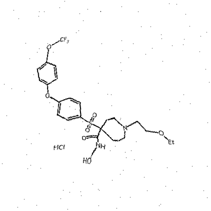 CCOCCN1CCC(C(=O)NO)(S(=O)(=O)c2ccc(Oc3ccc(OC(F)(F)F)cc3)cc2)CC1.Cl